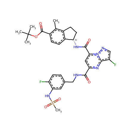 Cc1c(C(=O)OC(C)(C)C)ccc2c1CC[C@@H]2NC(=O)c1cc(C(=O)NCc2ccc(F)c(NS(C)(=O)=O)c2)nc2c(F)cnn12